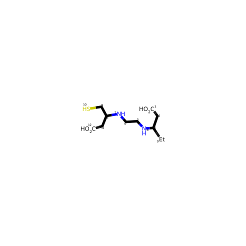 CCC(CC(=O)O)NCCNC(CS)CC(=O)O